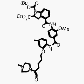 CCOC(=O)C1Cc2c(C(=O)Nc3ccc(C(=O)N(C)c4ccc(C)cc4OCCCCC(=C=O)N4CCN(C)CC4)cc3OC)cccc2N1C(=O)OC(C)(C)C